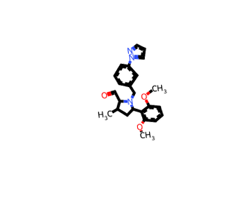 COc1cccc(OC)c1C1CC(C)C(C=O)N1Cc1cccc(-n2cccn2)c1